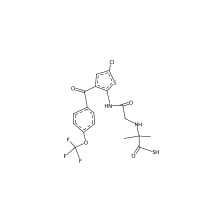 CC(C)(NCC(=O)Nc1sc(Cl)cc1C(=O)c1ccc(OC(F)(F)F)cc1)C(=O)S